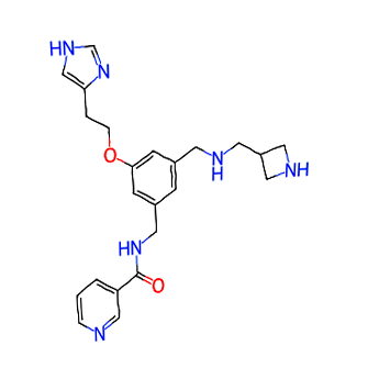 O=C(NCc1cc(CNCC2CNC2)cc(OCCc2c[nH]cn2)c1)c1cccnc1